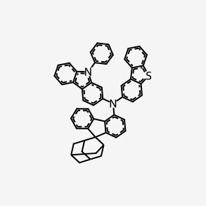 c1ccc(-n2c3ccccc3c3ccc(N(c4ccc5sc6ccccc6c5c4)c4cccc5c4-c4ccccc4C54C5CC6CC(C5)CC4C6)cc32)cc1